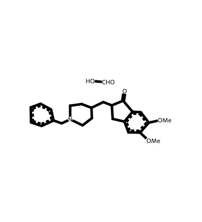 COc1cc2c(cc1OC)C(=O)C(CC1CCN(Cc3ccccc3)CC1)C2.O=CO